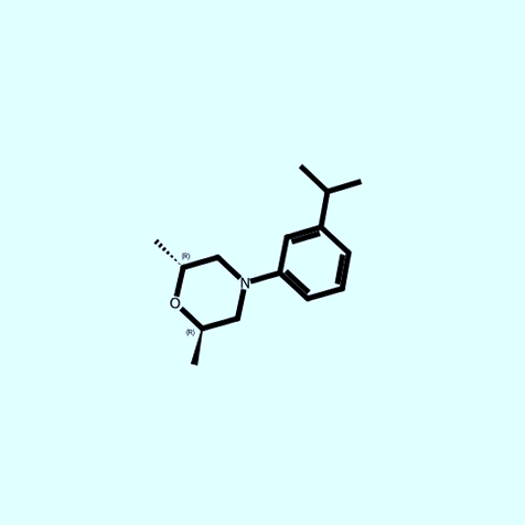 CC(C)c1cccc(N2C[C@@H](C)O[C@H](C)C2)c1